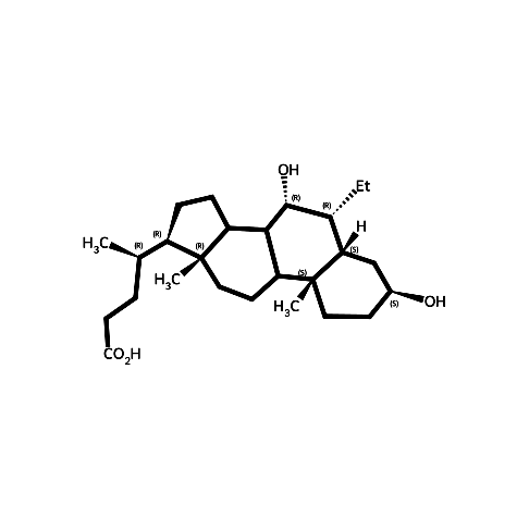 CC[C@H]1[C@@H](O)C2C3CC[C@H]([C@H](C)CCC(=O)O)[C@@]3(C)CCC2[C@@]2(C)CC[C@H](O)C[C@@H]12